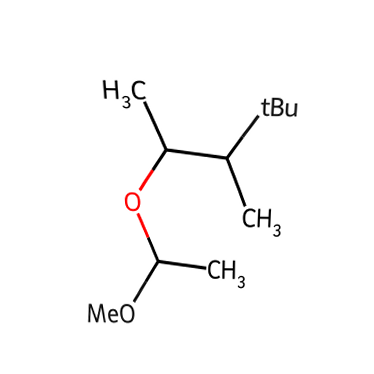 COC(C)OC(C)C(C)C(C)(C)C